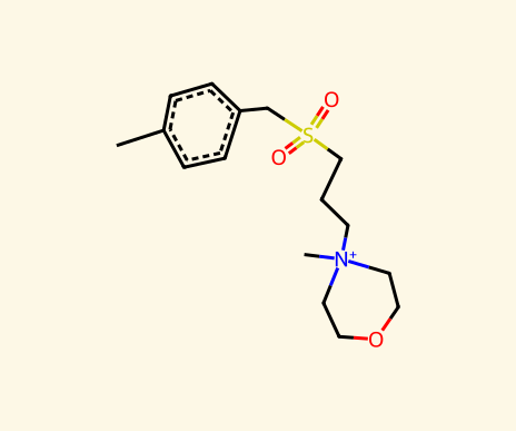 Cc1ccc(CS(=O)(=O)CCC[N+]2(C)CCOCC2)cc1